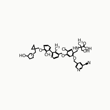 Cc1c(COc2cc(OCc3cncc(C#N)c3)c(CNC(C)(CO)C(=O)O)cc2Cl)cccc1-c1cccc(OCC2(CN3CCC(O)C3)CC2)c1C